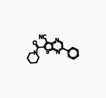 N#Cc1c(C(=O)N2CCCCC2)sc2nc(-c3ccccc3)cnc12